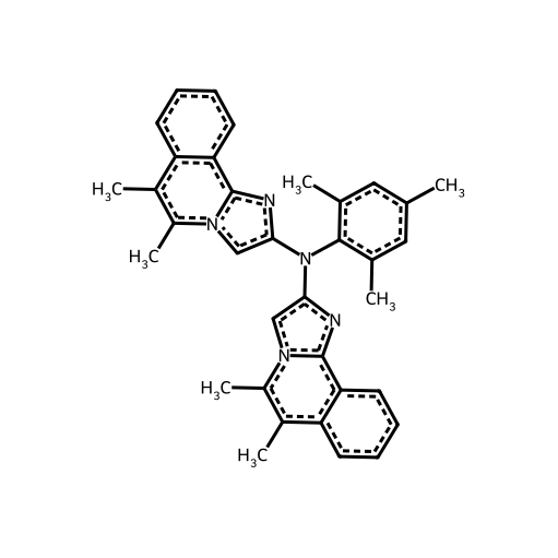 Cc1cc(C)c(N(c2cn3c(C)c(C)c4ccccc4c3n2)c2cn3c(C)c(C)c4ccccc4c3n2)c(C)c1